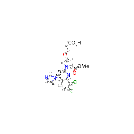 COC(=O)[C@@H]1C[C@@H](OCCC(=O)O)CN1c1cc(-n2ccnc2)c2ccc(Cl)c(Cl)c2n1